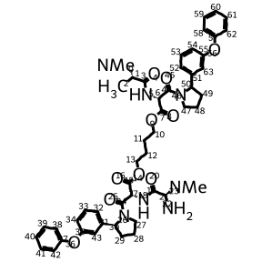 CN[C@@H](C)C(=O)N[C@@H](C(=O)OCCCCOC(=O)[C@H](NC(=O)[C@H](N)NC)C(=O)N1CCC[C@H]1c1cccc(Oc2ccccc2)c1)C(=O)N1CCCC1c1cccc(Oc2ccccc2)c1